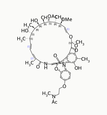 CO[C@H]1/C=C/O[C@@]2(C)Oc3c(C)c(O)c4c(=O)c(c5oc6cc(OCCN(C)C(C)=O)ccc6nc-5c4c3C2=O)NC(=O)/C(C)=C\C=C\[C@H](C)[C@H](O)[C@@H](C)[C@@H](O)[C@@H](C)[C@H](OC(C)=O)[C@@H]1C